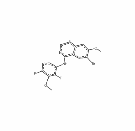 COc1cc2ncnc(Nc3ccc(F)c(OC)c3F)c2cc1Br